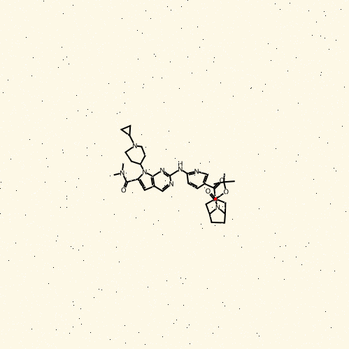 CN(C)C(=O)c1cc2cnc(Nc3ccc(C(=O)N4CC5CCC(C4)N5C(=O)OC(C)(C)C)cn3)nc2n1C1CCN(C2CC2)CC1